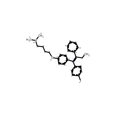 CC/C(=C(\c1ccc(I)cc1)c1ccc(OCCCCN(C)C)cc1)c1ccccc1